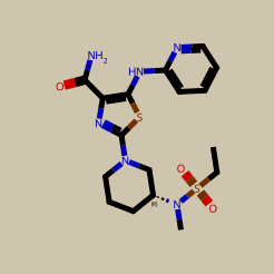 CCS(=O)(=O)N(C)[C@@H]1CCCN(c2nc(C(N)=O)c(Nc3ccccn3)s2)C1